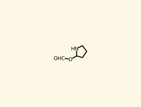 O=COC1CCCN1